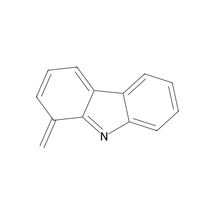 C=c1cccc2c1=Nc1ccccc1-2